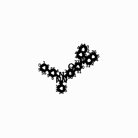 c1ccc(-c2ccc(-c3nc(-c4ccccc4)nc(-c4ccc5c(c4)oc4cc(-n6c7ccc8ccccc8c7c7c8ccccc8ccc76)ccc45)n3)cc2)cc1